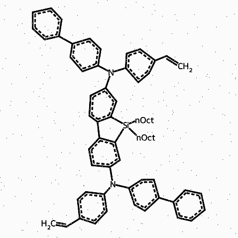 C=Cc1ccc(N(c2ccc(-c3ccccc3)cc2)c2ccc3c(c2)[Si](CCCCCCCC)(CCCCCCCC)c2cc(N(c4ccc(C=C)cc4)c4ccc(-c5ccccc5)cc4)ccc2-3)cc1